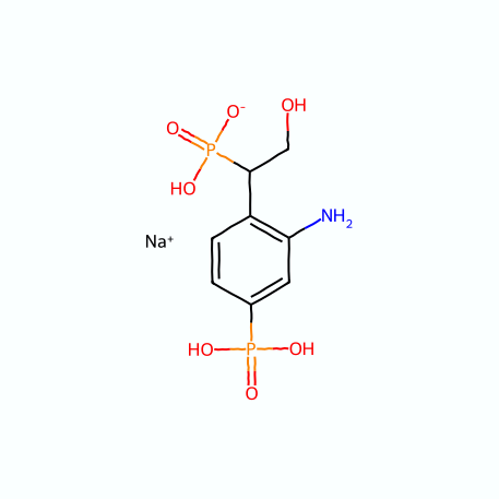 Nc1cc(P(=O)(O)O)ccc1C(CO)P(=O)([O-])O.[Na+]